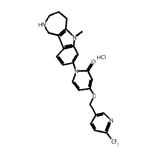 Cl.Cn1c2c(c3ccc(-n4ccc(OCc5ccc(C(F)(F)F)nc5)cc4=O)cc31)CNCCC2